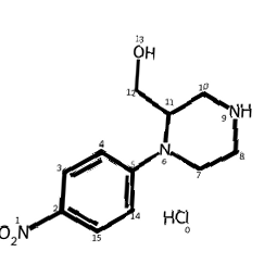 Cl.O=[N+]([O-])c1ccc(N2CCNCC2CO)cc1